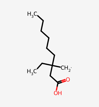 [CH2]C(CC)(CCCCCC)CC(=O)O